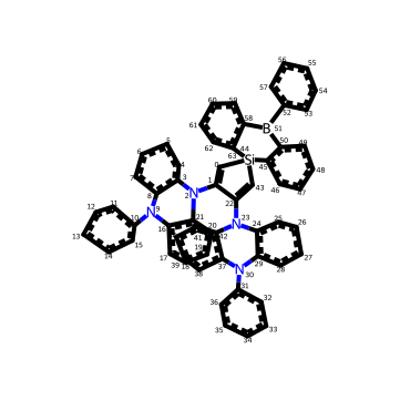 C1=C(N2c3ccccc3N(c3ccccc3)c3ccccc32)C(N2c3ccccc3N(c3ccccc3)c3ccccc32)=C[Si]12c1ccccc1B(c1ccccc1)c1ccccc12